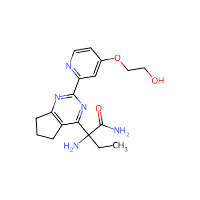 CCC(N)(C(N)=O)c1nc(-c2cc(OCCO)ccn2)nc2c1CCC2